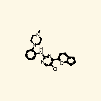 CN1CCN(c2ccccc2Nc2ncc(Cl)c(-c3ccc4cccc-4o3)n2)CC1